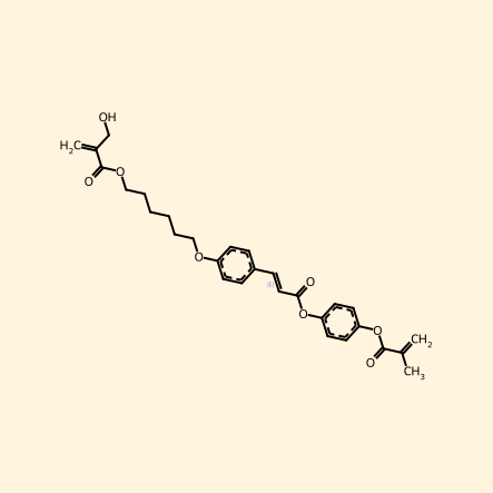 C=C(C)C(=O)Oc1ccc(OC(=O)/C=C/c2ccc(OCCCCCCOC(=O)C(=C)CO)cc2)cc1